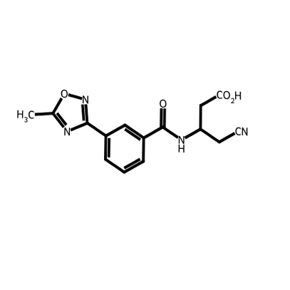 Cc1nc(-c2cccc(C(=O)NC(CC#N)CC(=O)O)c2)no1